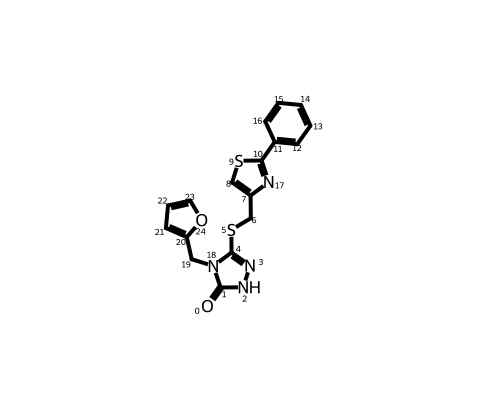 O=c1[nH]nc(SCc2csc(-c3ccccc3)n2)n1Cc1ccco1